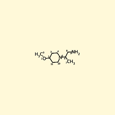 COC1CCN(C(C)CN)CC1